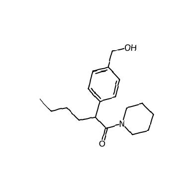 CCCCC(C(=O)N1CCCCC1)c1ccc(CO)cc1